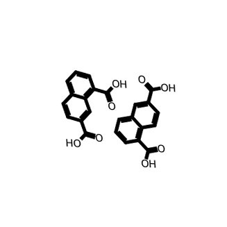 O=C(O)c1ccc2c(C(=O)O)cccc2c1.O=C(O)c1ccc2cccc(C(=O)O)c2c1